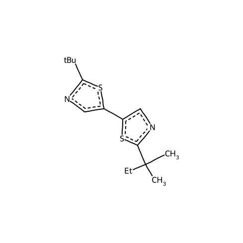 CCC(C)(C)c1ncc(-c2cnc(C(C)(C)C)s2)s1